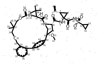 C=C[C@@H]1C[C@]1(NC(=O)[C@@H]1C[C@]2(OC)CN1C(=O)[C@H](C(C)(C)C)NC(=O)OCC(C)(C)CCCc1ccccc1-c1ccc2cc1)C(=O)NS(=O)(=O)C1CC1